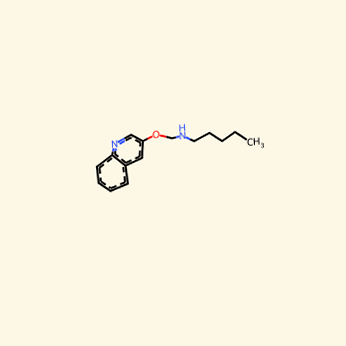 CCCCCNCOc1cnc2ccccc2c1